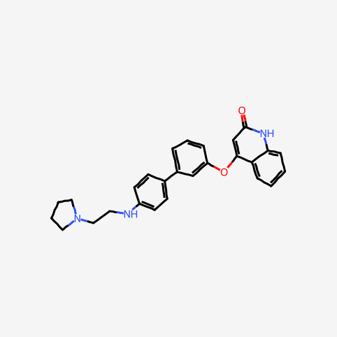 O=c1cc(Oc2cccc(-c3ccc(NCCN4CCCC4)cc3)c2)c2ccccc2[nH]1